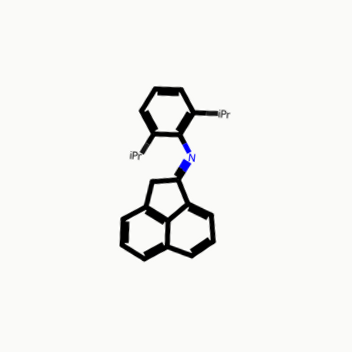 CC(C)c1cccc(C(C)C)c1N=C1Cc2cccc3cccc1c23